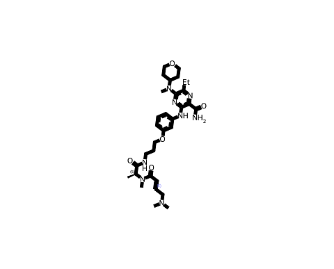 CCc1nc(C(N)=O)c(Nc2cccc(OCCCNC(=O)[C@H](C)N(C)C(=O)/C=C/CN(C)C)c2)nc1N(C)C1CCOCC1